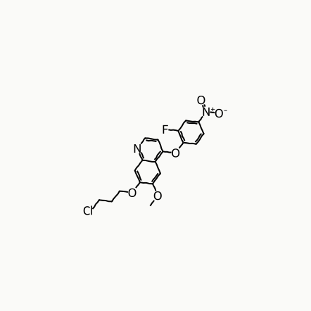 COc1cc2c(Oc3ccc([N+](=O)[O-])cc3F)ccnc2cc1OCCCCl